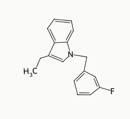 CCc1cn(Cc2cccc(F)c2)c2ccccc12